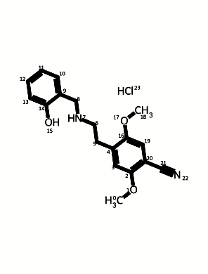 COc1cc(CCNCc2ccccc2O)c(OC)cc1C#N.Cl